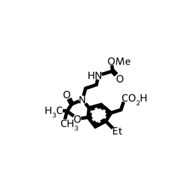 CCc1cc2c(cc1CC(=O)O)N(CCNC(=O)OC)C(=O)C(C)(C)O2